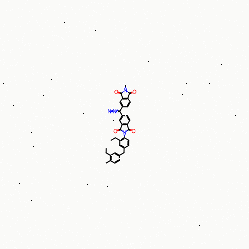 CCc1cc(Cc2ccc(N3C(=O)c4ccc(C(=[N+]=[N-])c5ccc6c(c5)C(=O)N(C)C6=O)cc4C3=O)c(CC)c2)ccc1C